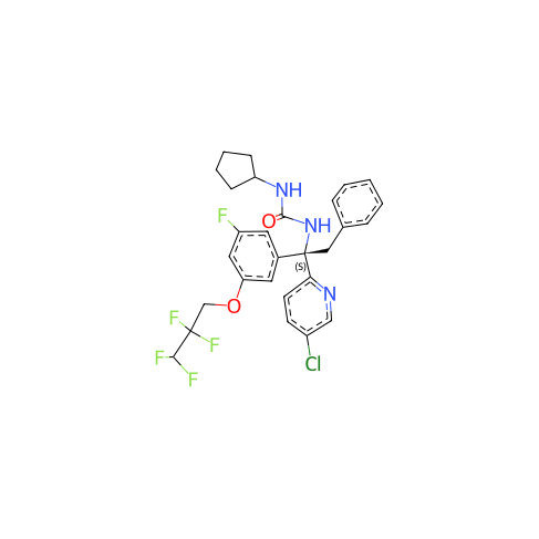 O=C(NC1CCCC1)N[C@@](Cc1ccccc1)(c1cc(F)cc(OCC(F)(F)C(F)F)c1)c1ccc(Cl)cn1